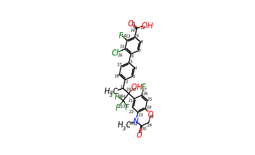 CC(c1ccc(-c2ccc(C(=O)O)c(F)c2Cl)cc1)C(O)(c1cc2c(cc1F)OCC(=O)N2C)C(F)(F)F